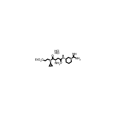 CCOC(=O)CCN(C(=O)[C@@H](N)CC(=O)N(C)[C@H]1CCCN(C(=N)N)C1)C1CC1.Cl.Cl